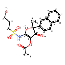 CC(=O)OC1=C(NS(=O)(=O)CCCBr)OC(C)(c2ccc3ccccc3c2)C1=O